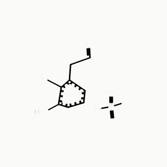 C=CCc1cccc(C)c1C.O=S(=O)(O)O